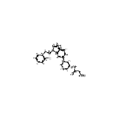 CC(C)(C)CC(=O)Nc1cncc(-c2cnc3[nH]nc(N4Cc5ccccc5C4)c3c2)c1